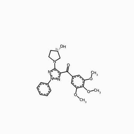 COc1cc(C(=O)c2nn(-c3ccccc3)nc2N2CC[C@H](O)C2)cc(OC)c1OC